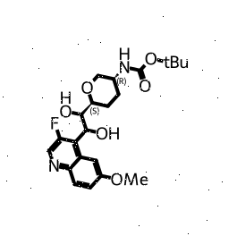 COc1ccc2ncc(F)c(C(O)C(O)[C@@H]3CC[C@@H](NC(=O)OC(C)(C)C)CO3)c2c1